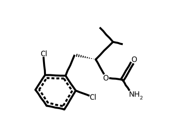 CC(C)[C@@H](Cc1c(Cl)cccc1Cl)OC(N)=O